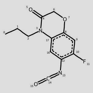 CCCN1C(=O)COc2cc(F)c(N=C=O)cc21